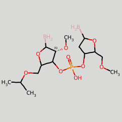 BC1CC(OP(=O)(O)OC2C(COC(C)C)OC(B)[C@@H]2OC)C(COC)O1